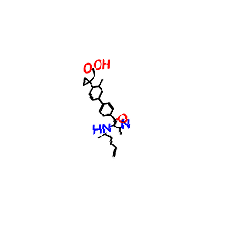 C=CCCC(C)Nc1c(C)noc1-c1ccc(C2=CC(C)C(C3(CC(=O)O)CC3)C=C2)cc1